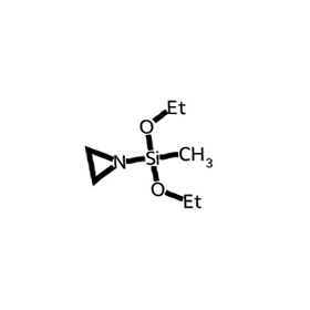 CCO[Si](C)(OCC)N1CC1